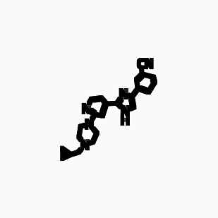 N#Cc1cccc(-c2c[nH]c(-c3ccnc(N4CCN(CC5CC5)CC4)c3)n2)c1